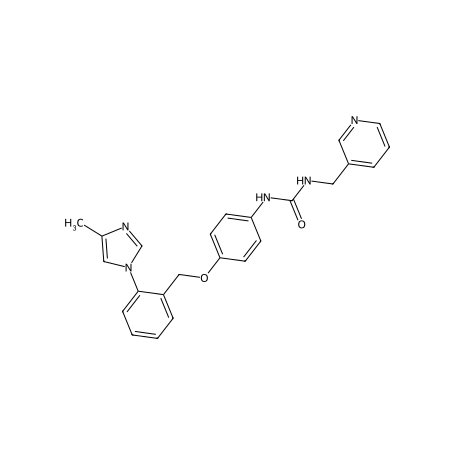 Cc1cn(-c2ccccc2COc2ccc(NC(=O)NCc3cccnc3)cc2)cn1